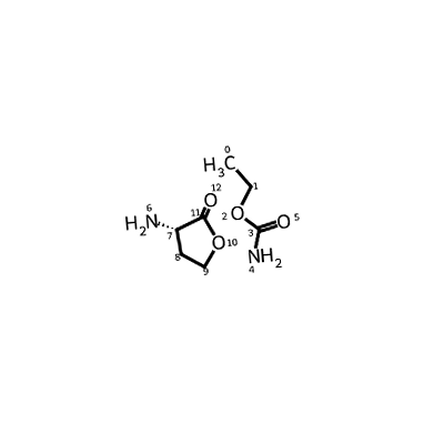 CCOC(N)=O.N[C@H]1CCOC1=O